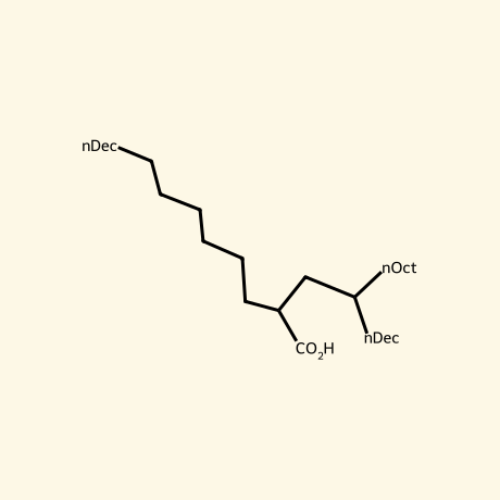 CCCCCCCCCCCCCCCCC(CC(CCCCCCCC)CCCCCCCCCC)C(=O)O